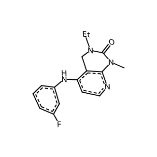 CCN1Cc2c(Nc3cccc(F)c3)ccnc2N(C)C1=O